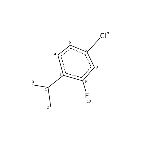 CC(C)c1ccc(Cl)cc1F